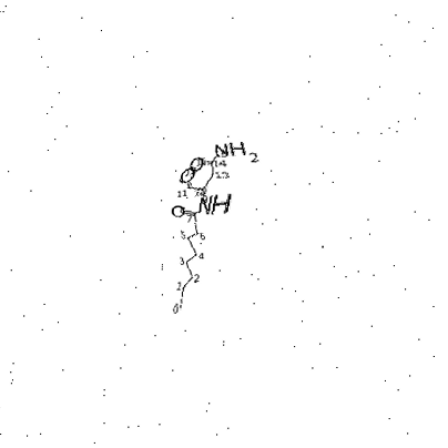 CCCCCCCC(=O)NC(C=O)CC(N)=O